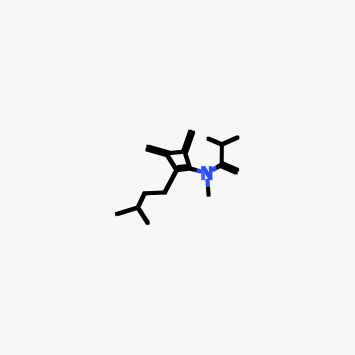 C=C1C(=C)C(N(C)C(=C)C(C)C)=C1CCC(C)C